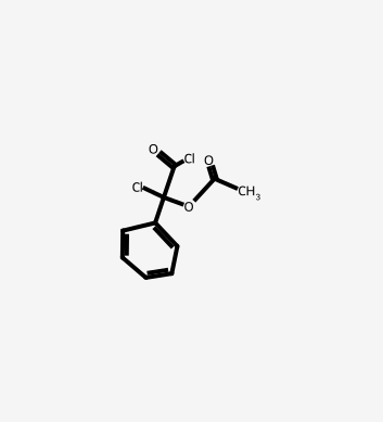 CC(=O)OC(Cl)(C(=O)Cl)c1ccccc1